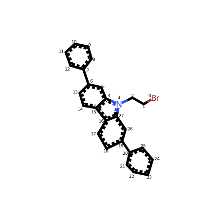 BrCCn1c2cc(-c3ccccc3)ccc2c2ccc(-c3ccccc3)cc21